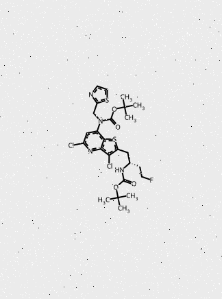 CC(C)(C)OC(=O)N[C@@H](CCF)Cc1sc2c(N(Cc3nccs3)C(=O)OC(C)(C)C)cc(Cl)nc2c1Cl